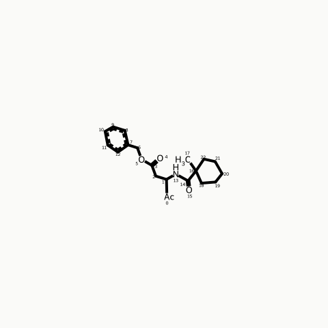 CC(=O)C(CC(=O)OCc1ccccc1)NC(=O)C1(C)CCCCC1